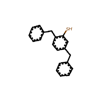 Sc1cc(Cc2ccccc2)ccc1Cc1ccccc1